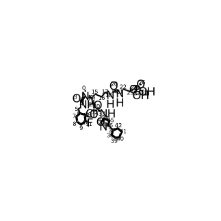 CN(C(=O)NCc1cccc(F)c1Cl)[C@@H](CCCNC(=O)NCCOP(=O)(O)O)COC(=O)Nc1cc(-c2ccccc2)no1